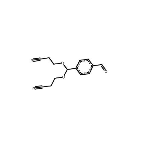 N#CCCOC(OCCC#N)c1ccc(C=O)cc1